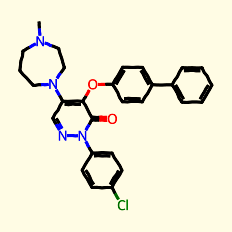 CN1CCCN(c2cnn(-c3ccc(Cl)cc3)c(=O)c2Oc2ccc(-c3ccccc3)cc2)CC1